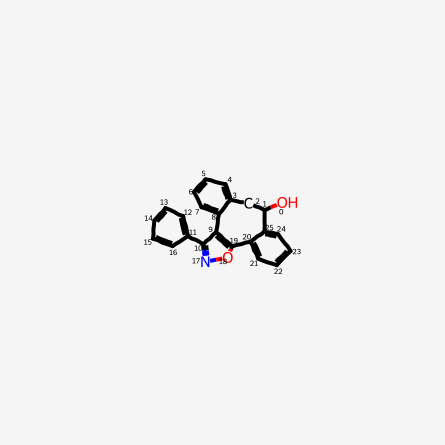 OC1Cc2ccccc2-c2c(-c3ccccc3)noc2-c2ccccc21